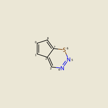 c1cc2cnnsc-2c1